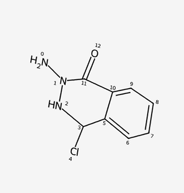 NN1NC(Cl)c2ccccc2C1=O